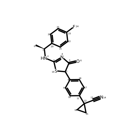 C[C@H](NC1=NC(=O)C(c2ccc(C3(C#N)CC3)cc2)S1)c1ccc(F)cc1